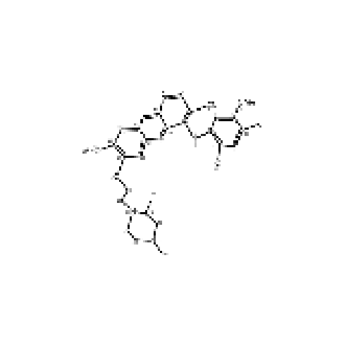 COc1cc(Nc2c(C#N)cnc3cc4cc(OC)c(OCCN5CCN(C)CC5I)cc4cc23)c(Cl)cc1C